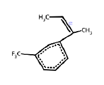 C/C=C(/C)c1cccc(C(F)(F)F)c1